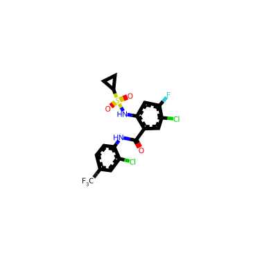 O=C(Nc1ccc(C(F)(F)F)cc1Cl)c1cc(Cl)c(F)cc1NS(=O)(=O)C1CC1